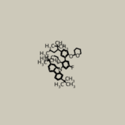 CCCOc1c(-c2cc(C(CCC)C(C)(C)C)ccc2OC2CCCCO2)cc(F)cc1-n1c2cc(C(C)(C)C)ccc2c2ccc(C(C)(C)C)cc21